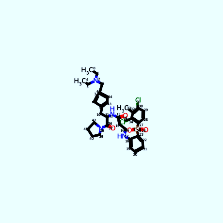 CCN(CC)Cc1ccc(CC(NC(=O)CCNc2ccccc2S(=O)(=O)c2ccc(Cl)c(C)c2Cl)C(=O)N2CCCC2)cc1